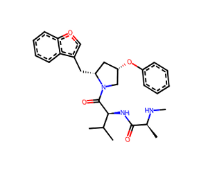 CN[C@@H](C)C(=O)N[C@H](C(=O)N1C[C@@H](Oc2ccccc2)C[C@H]1Cc1coc2ccccc12)C(C)C